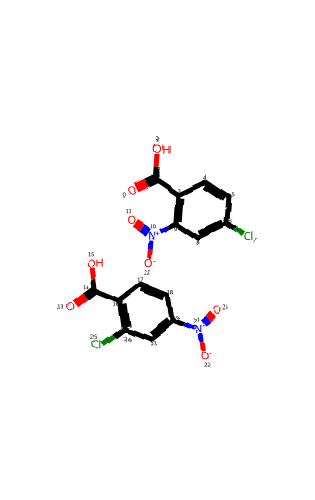 O=C(O)c1ccc(Cl)cc1[N+](=O)[O-].O=C(O)c1ccc([N+](=O)[O-])cc1Cl